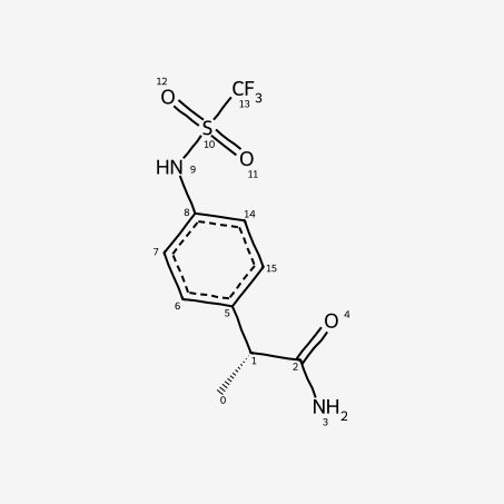 C[C@@H](C(N)=O)c1ccc(NS(=O)(=O)C(F)(F)F)cc1